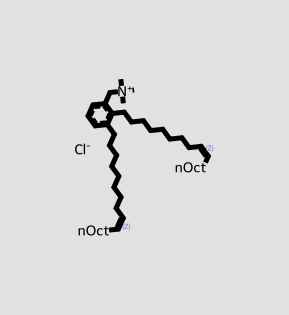 CCCCCCCC/C=C\CCCCCCCCc1cccc(C[N+](C)(C)C)c1CCCCCCCC/C=C\CCCCCCCC.[Cl-]